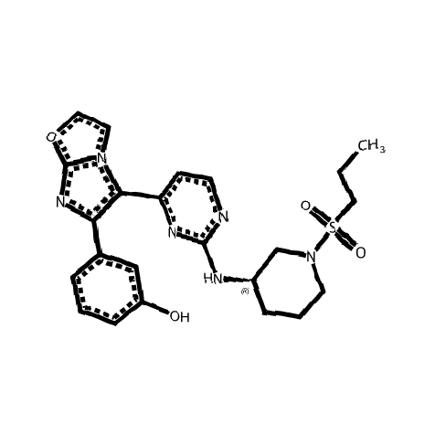 CCCS(=O)(=O)N1CCC[C@@H](Nc2nccc(-c3c(-c4cccc(O)c4)nc4occn34)n2)C1